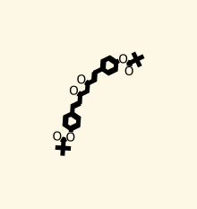 CC(C)(C)C(=O)Oc1ccc(C=CC(=O)CC(=O)C=Cc2ccc(OC(=O)C(C)(C)C)cc2)cc1